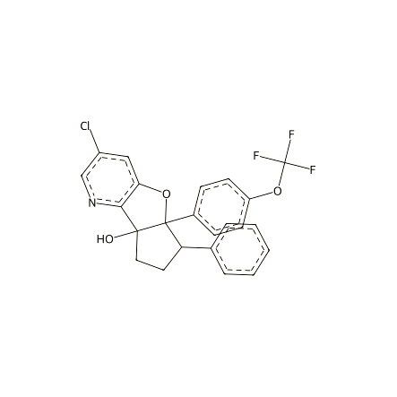 OC12CCC(c3ccccc3)C1(c1ccc(OC(F)(F)F)cc1)Oc1cc(Cl)cnc12